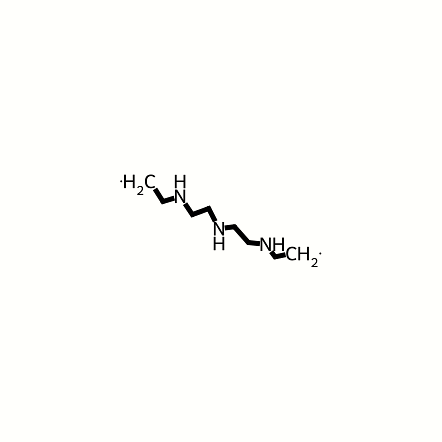 [CH2]CNCCNCCNC[CH2]